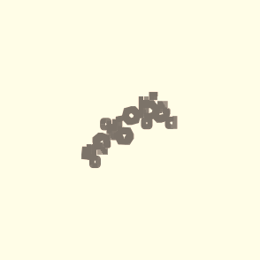 O=C(N[C@H]1CC[C@H](Cn2c(=O)n(-c3ccc(N4CCC4=O)nc3)c3ccccc32)CC1)c1cc(Cl)cnc1C(F)F